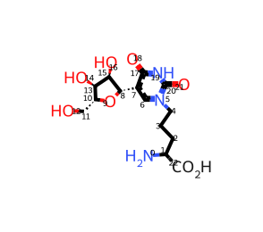 NC(CCCn1cc([C@@H]2O[C@H](CO)[C@@H](O)[C@H]2O)c(=O)[nH]c1=O)C(=O)O